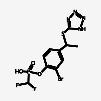 CC(Sc1nnn[nH]1)c1ccc(OP(=O)(O)C(F)F)c(Br)c1